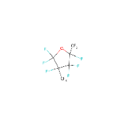 FC(F)(F)C1(F)OC(F)(F)C(F)(C(F)(F)F)C1(F)F